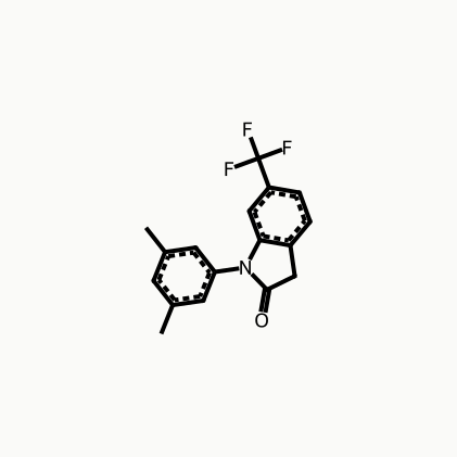 Cc1cc(C)cc(N2C(=O)Cc3ccc(C(F)(F)F)cc32)c1